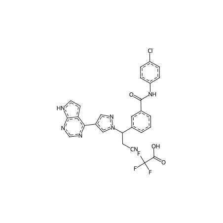 N#CCC(c1cccc(C(=O)Nc2ccc(Cl)cc2)c1)n1cc(-c2ncnc3[nH]ccc23)cn1.O=C(O)C(F)(F)F